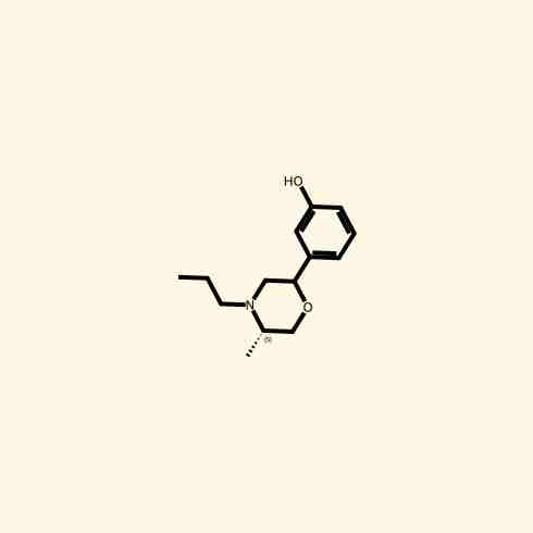 CCCN1CC(c2cccc(O)c2)OC[C@@H]1C